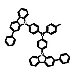 Cc1ccc(N(c2ccc(-n3c4ccccc4c4ccc(-c5ccccc5)cc43)cc2)c2ccc(-n3c4ccccc4c4ccc(-c5ccccc5)cc43)cc2)cc1